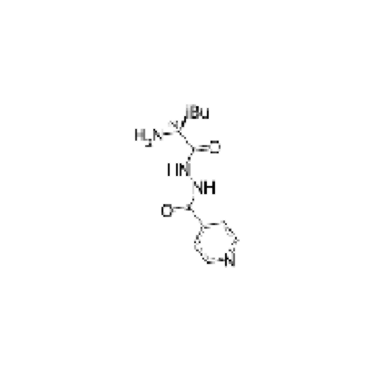 CCC(C)[C@H](N)C(=O)NNC(=O)c1ccncc1